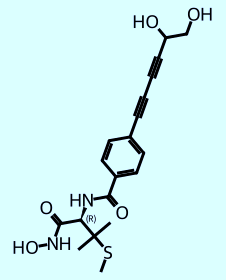 CSC(C)(C)[C@H](NC(=O)c1ccc(C#CC#CC(O)CO)cc1)C(=O)NO